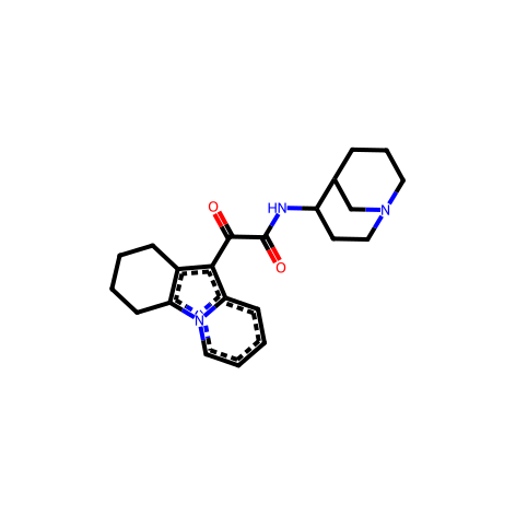 O=C(NC1CCN2CCCC1C2)C(=O)c1c2c(n3ccccc13)CCCC2